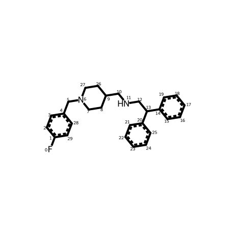 Fc1ccc(CN2CCC(CNCC(c3ccccc3)c3ccccc3)CC2)cc1